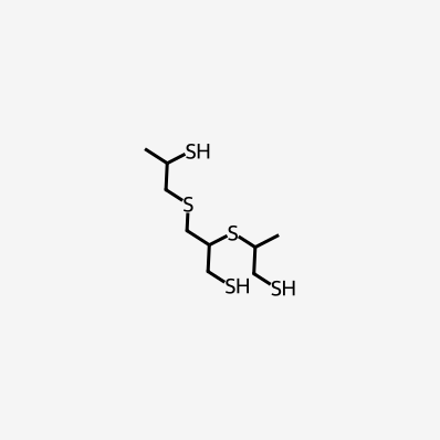 CC(S)CSCC(CS)SC(C)CS